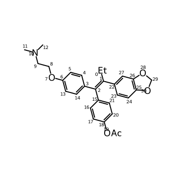 CCC(=C(c1ccc(OCCN(C)C)cc1)c1ccc(OC(C)=O)cc1)c1ccc2c(c1)OCO2